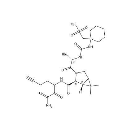 C#CCCC(NC(=O)[C@@H]1[C@@H]2C(CN1C(=O)[C@@H](NC(=O)NC1(CS(=O)(=O)C(C)(C)C)CCCCC1)C(C)(C)C)C2(C)C)C(=O)C(N)=O